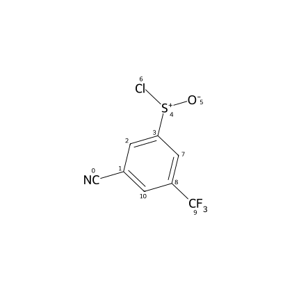 N#Cc1cc([S+]([O-])Cl)cc(C(F)(F)F)c1